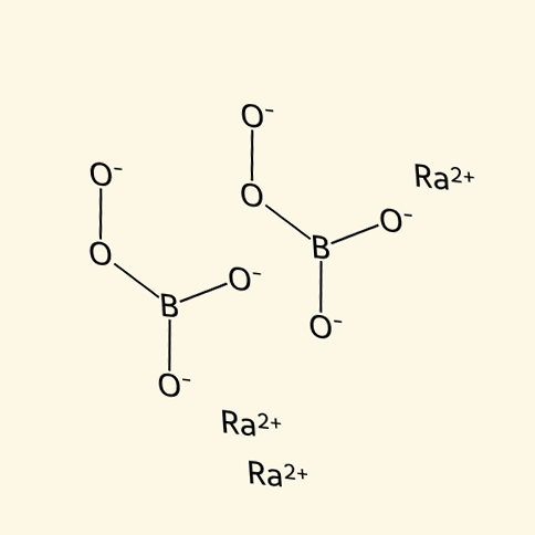 [O-]OB([O-])[O-].[O-]OB([O-])[O-].[Ra+2].[Ra+2].[Ra+2]